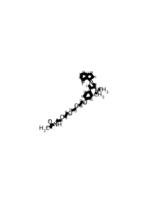 C=CC(=O)NCCOCCOCCOCCOc1ccc([C@H]2CN([C@H]3CCc4cccc(F)c43)C[C@@H]2N(C)C)cc1